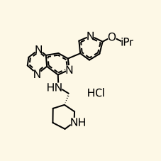 CC(C)Oc1ccc(-c2cc3nccnc3c(NC[C@H]3CCCNC3)n2)cn1.Cl